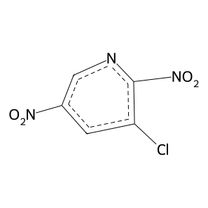 O=[N+]([O-])c1cnc([N+](=O)[O-])c(Cl)c1